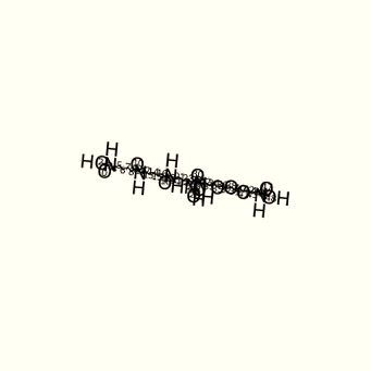 O=C(O)NCCCCCC(=O)NCCCCCC(=O)NCCCCC(NC(=O)O)C(=O)NCCCOCCOCCOCCCNC(=O)O